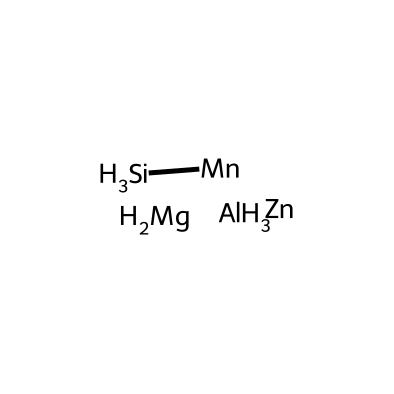 [AlH3].[MgH2].[SiH3][Mn].[Zn]